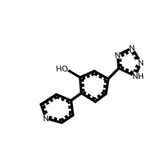 Oc1cc(-c2nnn[nH]2)ccc1-c1ccncc1